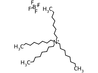 CCCCCCCC[N+](CCCCCCCC)(CCCCCCCC)CCCCCCCC.F[B-](F)(F)F